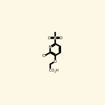 CS(=O)(=O)c1ccc(OCC(=O)O)c(Cl)n1